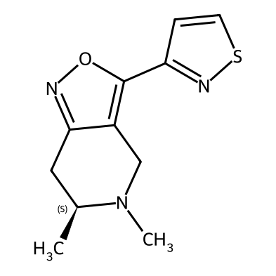 C[C@H]1Cc2noc(-c3ccsn3)c2CN1C